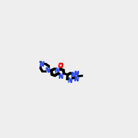 Cc1nc2ncc(-c3cc(=O)n4cc(N5CCCN(C)CC5)ccc4n3)cn2n1